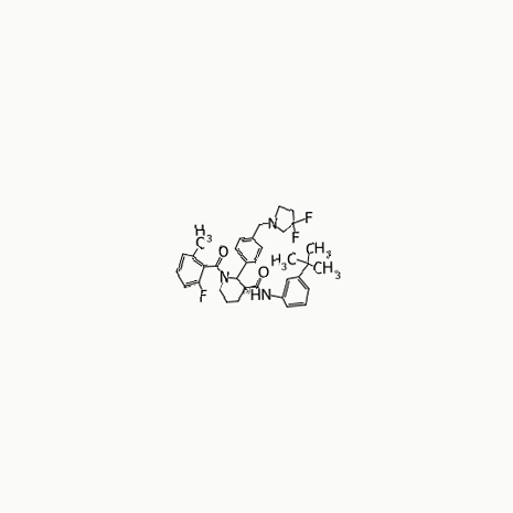 Cc1cccc(F)c1C(=O)N1CCC[C@H](C(=O)Nc2cccc(C(C)(C)C)c2)C1c1ccc(CN2CCC(F)(F)C2)cc1